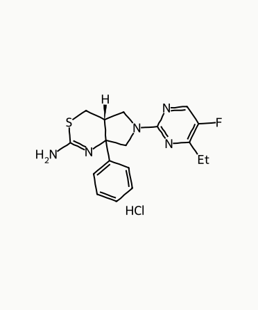 CCc1nc(N2C[C@H]3CSC(N)=NC3(c3ccccc3)C2)ncc1F.Cl